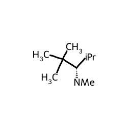 CN[C@@H](C(C)C)C(C)(C)C